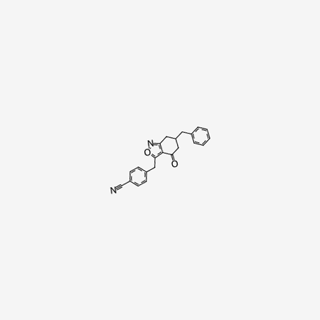 N#Cc1ccc(Cc2onc3c2C(=O)CC(Cc2ccccc2)C3)cc1